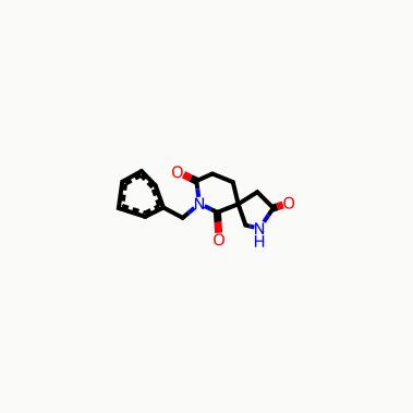 O=C1CC2(CCC(=O)N(Cc3ccccc3)C2=O)CN1